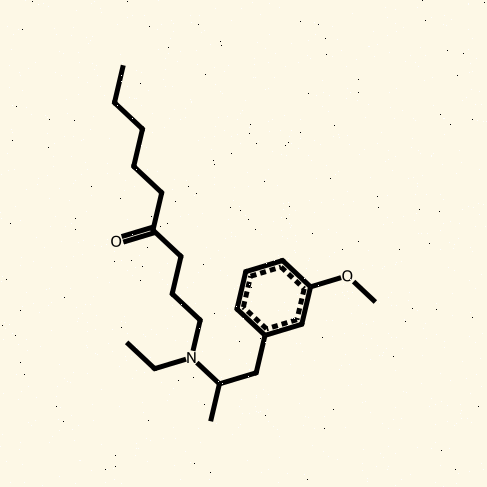 CCCCCC(=O)CCCN(CC)C(C)Cc1cccc(OC)c1